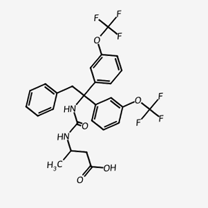 CC(CC(=O)O)NC(=O)NC(Cc1ccccc1)(c1cccc(OC(F)(F)F)c1)c1cccc(OC(F)(F)F)c1